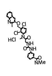 CNC(=O)c1cccc(NC(=O)NCC(=O)N(C)c2ccc(Cl)c(COc3cc4ccccc4nc3C)c2Cl)c1.Cl